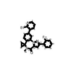 CCc1ncccc1-c1ccc2c(c1)-n1nc(-c3ccccc3F)cc1C(=O)N(C)C21CC1